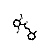 COc1cccc(OC)c1C(=O)/C=C/c1ccccc1C